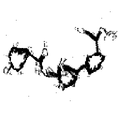 NC(=O)c1cccc(-c2cnc(NC(=O)c3cccc(Cl)c3)[nH]2)c1